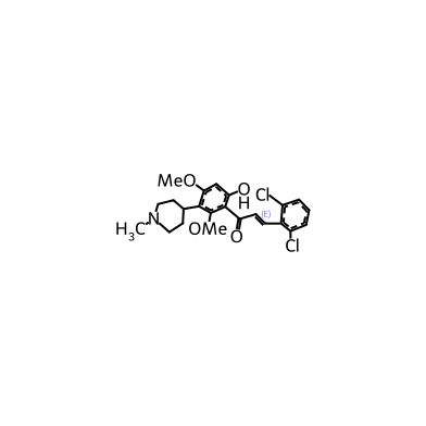 COc1cc(O)c(C(=O)/C=C/c2c(Cl)cccc2Cl)c(OC)c1C1CCN(C)CC1